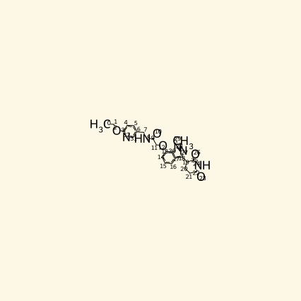 CCOc1ccc(CNC(=O)COc2cccc3c(C4CCC(=O)NC4=O)nn(C)c23)cn1